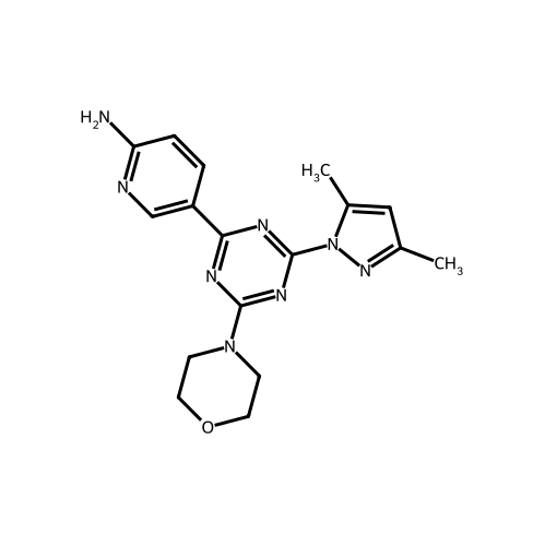 Cc1cc(C)n(-c2nc(-c3ccc(N)nc3)nc(N3CCOCC3)n2)n1